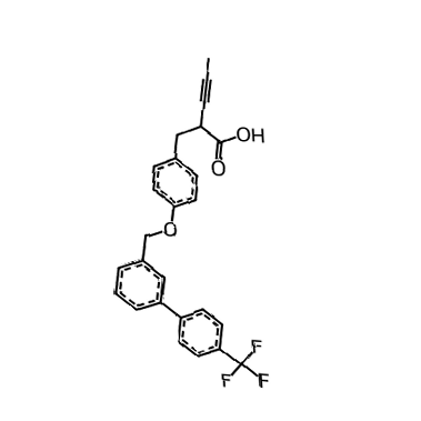 CC#CC(Cc1ccc(OCc2cccc(-c3ccc(C(F)(F)F)cc3)c2)cc1)C(=O)O